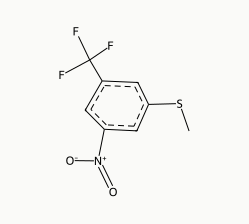 CSc1cc([N+](=O)[O-])cc(C(F)(F)F)c1